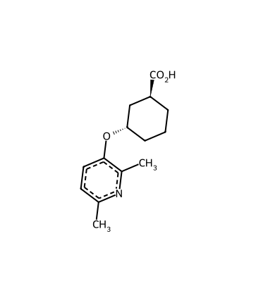 Cc1ccc(O[C@H]2CCC[C@H](C(=O)O)C2)c(C)n1